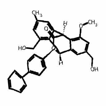 COc1cc(CO)cc2c1[C@H]1C(=O)O[C@@H]2[C@H](c2ccc(-c3ccccc3)cc2)c2c(CO)cc(C)cc21